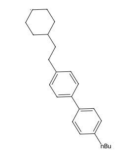 CCCCc1ccc(-c2ccc(CCC3CC[CH]CC3)cc2)cc1